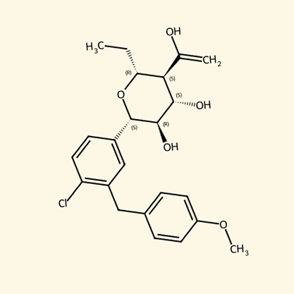 C=C(O)[C@H]1[C@H](O)[C@@H](O)[C@H](c2ccc(Cl)c(Cc3ccc(OC)cc3)c2)O[C@@H]1CC